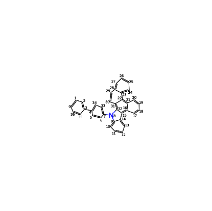 c1ccc(-c2ccc(-n3c4ccccc4c4c5ccccc5c5c6ccccc6ccc5c43)cc2)cc1